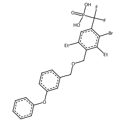 CCc1cc(C(F)(F)P(=O)(O)O)c(Br)c(CC)c1COCc1cccc(Oc2ccccc2)c1